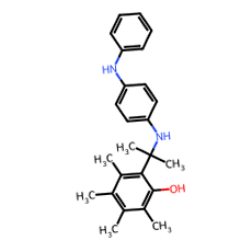 Cc1c(C)c(C)c(C(C)(C)Nc2ccc(Nc3ccccc3)cc2)c(O)c1C